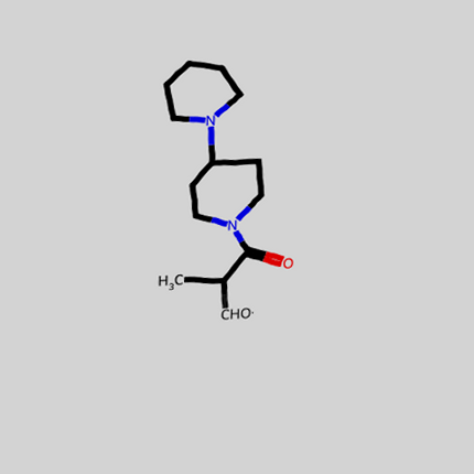 CC([C]=O)C(=O)N1CCC(N2CCCCC2)CC1